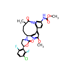 COC(=O)Nc1ccc2c(c1)NC(=O)C(C)CCC[C@H](N1CC[C@H](c3c(F)ccc(Cl)c3F)OC1=O)c1cc-2cc(OC)n1